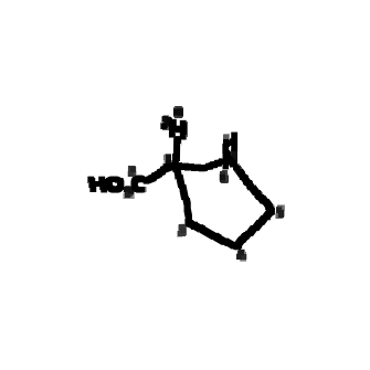 [2H]C1(C(=O)O)CCCN1